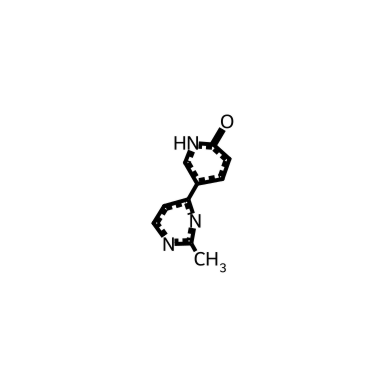 Cc1nccc(-c2ccc(=O)[nH]c2)n1